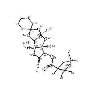 CC(C)(C)CC(C)(C(=O)OC1C(=O)O[C@@H]2[C@H]3OC4(CCCCC4)O[C@H]3O[C@H]12)C(C)(C)C